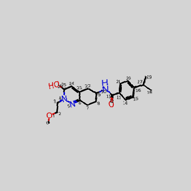 COCCN1N=C2CCC(NC(=O)c3ccc(C(C)C)cc3)CC2=CC1O